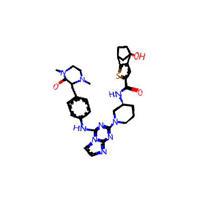 CN1CCN(C)C(c2ccc(Nc3nc(N4CCC[C@H](NC(=O)c5cc6c(s5)C5CCC6(O)C5)C4)nc4nccn34)cc2)C1=O